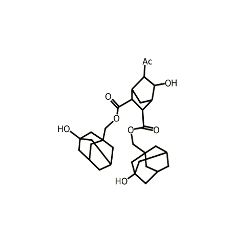 CC(=O)C1C(O)C2CC1C(C(=O)OCC13CC4CC(CC(O)(C4)C1)C3)C2C(=O)OCC12CC3CC(CC(O)(C3)C1)C2